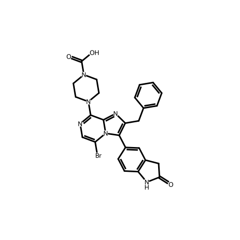 O=C1Cc2cc(-c3c(Cc4ccccc4)nc4c(N5CCN(C(=O)O)CC5)ncc(Br)n34)ccc2N1